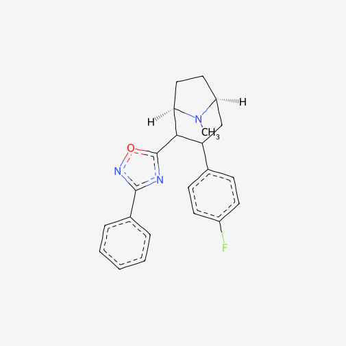 CN1[C@H]2CC[C@@H]1C(c1nc(-c3ccccc3)no1)C(c1ccc(F)cc1)C2